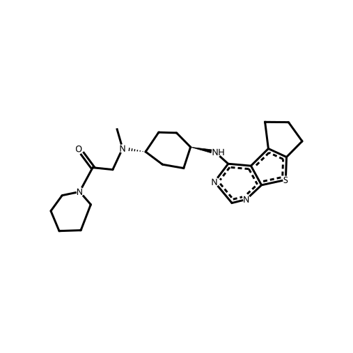 CN(CC(=O)N1CCCCC1)[C@H]1CC[C@H](Nc2ncnc3sc4c(c23)CCC4)CC1